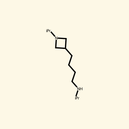 CC(C)NCCCCC1CN(C(C)C)C1